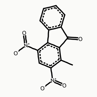 Cc1c([N+](=O)[O-])cc([N+](=O)[O-])c2c1C(=O)c1ccccc1-2